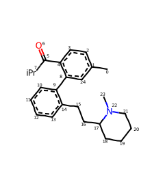 Cc1ccc(C(=O)C(C)C)c(-c2ccccc2CCC2CCCCN2C)c1